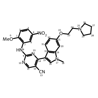 COc1ccc([N+](=O)[O-])cc1Nc1ncc(C#N)c(-c2cn(C)c3cc(OCCN4CCCC4)ccc23)n1